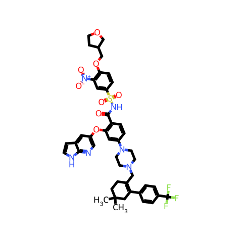 CC1(C)CCC(CN2CCN(c3ccc(C(=O)NS(=O)(=O)c4ccc(OCC5CCOC5)c([N+](=O)[O-])c4)c(Oc4cnc5[nH]ccc5c4)c3)CC2)=C(c2ccc(C(F)(F)F)cc2)C1